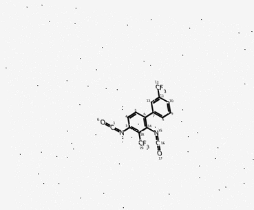 O=C=Nc1ccc(-c2cccc(C(F)(F)F)c2)c(N=C=O)c1C(F)(F)F